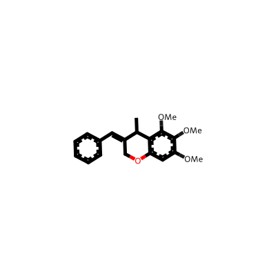 COc1cc2c(c(OC)c1OC)C(C)C(=Cc1ccccc1)CO2